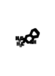 CC1(C)CNC2=CC=CCC2C1